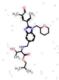 C/C=C(\C=C(\C)C=O)c1nc2cc(CNC(C(=O)OCC(C)C)C(C)O)ccc2n1CC1CCCCO1